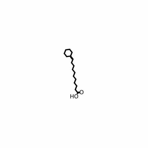 O=C(O)CCCCCCCCCC=C1CCCCC1